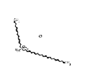 CCCCCCCCCCCCCCCCCCCCCC[N+](C)(C)CCCCCCCCCCCCCC.[Cl-]